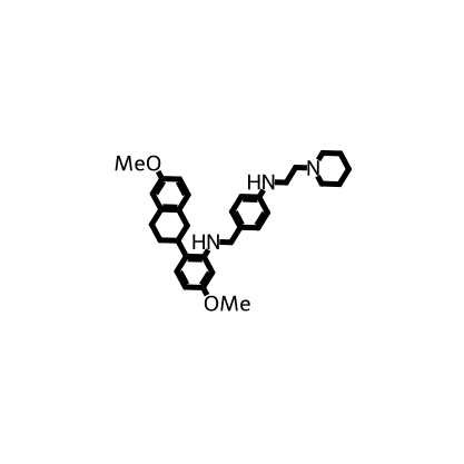 COc1ccc2c(c1)CCC(c1ccc(OC)cc1NCc1ccc(NCCN3CCCCC3)cc1)C2